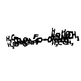 CC#CC[C@H](NC(=O)OC)C(=O)N1CCC[C@H]1c1ncc(-c2ccc(C#Cc3ccc4nc([C@@H]5CCCN5C(=O)[C@@H](NC(=O)OC)C(C)C)[nH]c4c3)cc2F)[nH]1